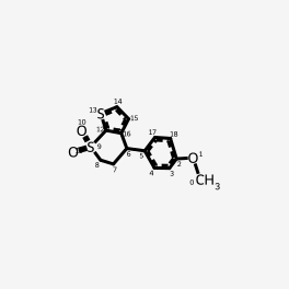 COc1ccc(C2CCS(=O)(=O)c3sccc32)cc1